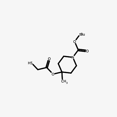 CC(C)(C)OC(=O)N1CCC(C)(OC(=O)CS)CC1